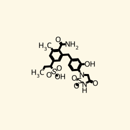 CCC(c1cc(C)c(C(N)=O)c(Cc2ccc(N3CC(=O)NS3(=O)=O)c(O)c2)c1)S(=O)(=O)O